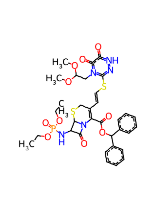 CCOP(=O)(NC1C(=O)N2C(C(=O)OC(c3ccccc3)c3ccccc3)=C(/C=C/Sc3n[nH]c(=O)c(=O)n3CC(OC)OC)CSC12)OCC